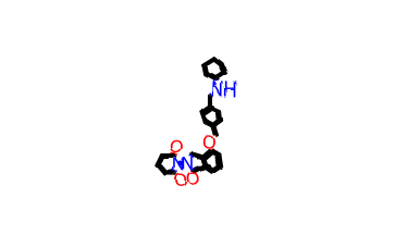 O=C1c2cccc(OCc3ccc(CNC4CCCCC4)cc3)c2CN1N1C(=O)CCCC1=O